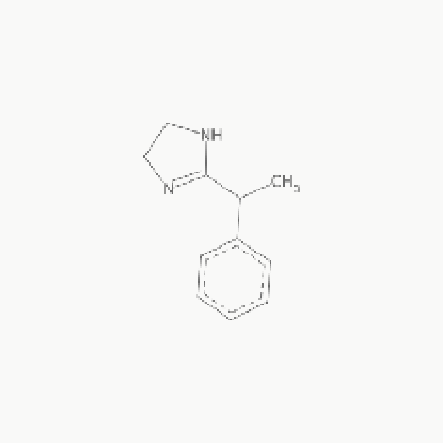 CC(C1=NCCN1)c1ccccc1